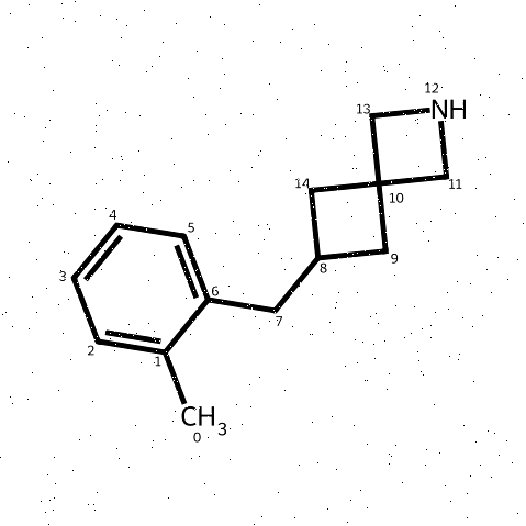 Cc1ccccc1CC1CC2(CNC2)C1